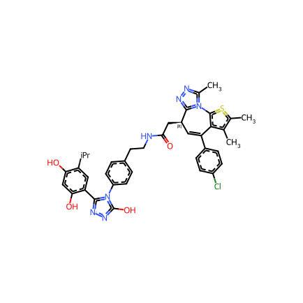 Cc1sc2c(c1C)C(c1ccc(Cl)cc1)=C[C@@H](CC(=O)NCCc1ccc(-n3c(O)nnc3-c3cc(C(C)C)c(O)cc3O)cc1)c1nnc(C)n1-2